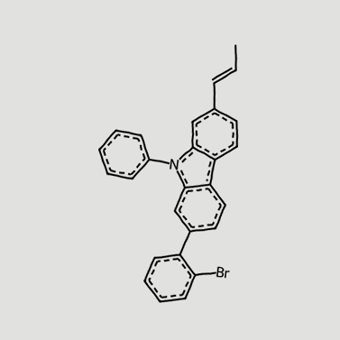 C/C=C/c1ccc2c3ccc(-c4ccccc4Br)cc3n(-c3ccccc3)c2c1